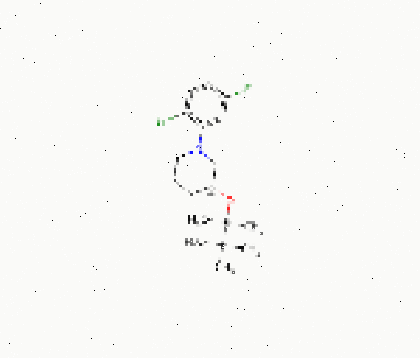 CC(C)(C)[Si](C)(C)O[C@@H]1CCCN(c2cc(F)ccc2Br)C1